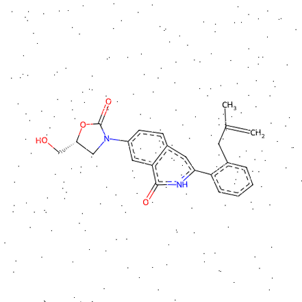 C=C(C)Cc1ccccc1-c1cc2ccc(N3C[C@H](CO)OC3=O)cc2c(=O)[nH]1